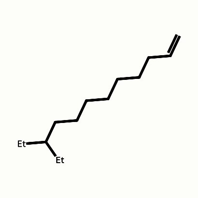 C=CCCCCCCCC(CC)CC